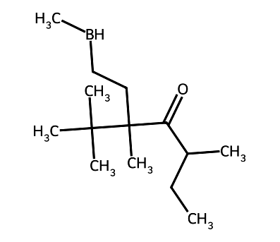 CBCCC(C)(C(=O)C(C)CC)C(C)(C)C